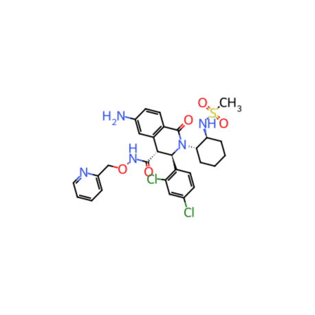 CS(=O)(=O)N[C@H]1CCCC[C@@H]1N1C(=O)c2ccc(N)cc2[C@@H](C(=O)NOCc2ccccn2)[C@@H]1c1ccc(Cl)cc1Cl